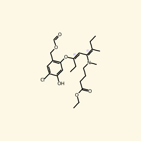 CCOC(=O)CCCN(C)C(/C=C(\CC)Oc1cc(O)c(Cl)cc1COC=O)=C(\C)CC